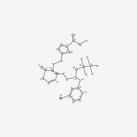 COC(=O)c1ccc(CCN2C(=O)SC=CN2CCC(Cc2cccc(Br)c2)O[Si](C)(C)C(C)(C)C)s1